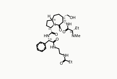 CCC(=O)NCCNC(=O)[C@@H](NC(=O)[C@@H]1CC[C@@H]2CC[C@H](CO)[C@H](NC(=O)[C@H](CC)NC)C(=O)N21)c1ccccc1